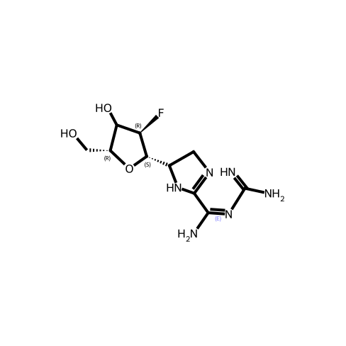 N=C(N)/N=C(/N)C1=NCC([C@@H]2O[C@H](CO)C(O)[C@H]2F)N1